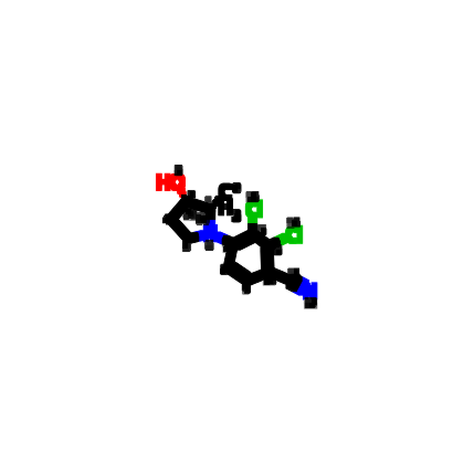 C[C@H]1[C@@H](O)CCN1c1ccc(C#N)c(Cl)c1Cl